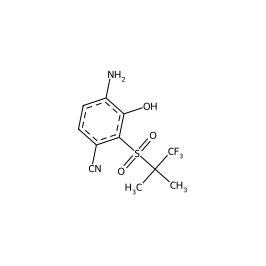 CC(C)(C(F)(F)F)S(=O)(=O)c1c(C#N)ccc(N)c1O